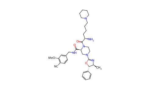 COc1cc(CNC(=O)[C@@H]2CN(C3=N[C@@H](C)[C@H](c4ccccc4)O3)CCN2C(=O)[C@H](N)CCCCN2CCCCC2)ccc1C#N